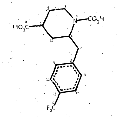 O=C(O)C1CCN(C(=O)O)C(Cc2ccc(C(F)(F)F)cc2)C1